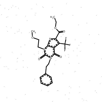 CCOC(=O)c1sc2c(c1C(F)(F)F)c(=O)n(CCc1ccccc1)c(=O)n2CCOC